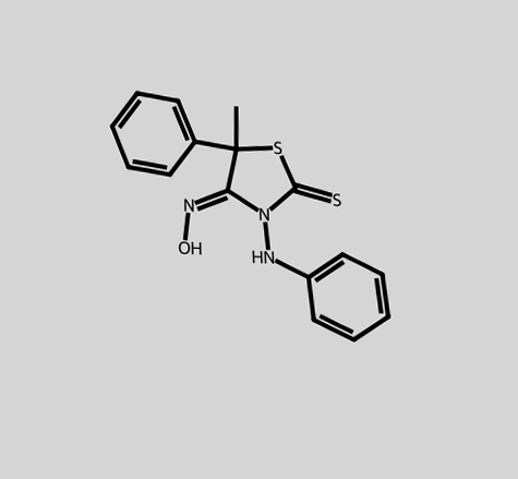 CC1(c2ccccc2)SC(=S)N(Nc2ccccc2)C1=NO